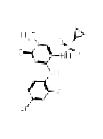 Cn1cc(NS(=O)(=O)C2CC2)c(Nc2ccc(Br)cc2F)cc1=O